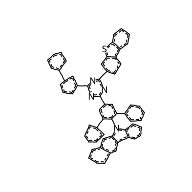 c1ccc(-c2cccc(-c3nc(-c4cc(-c5ccccc5)c(-n5c6ccccc6c6cc7ccccc7cc65)c(-c5ccccc5)c4)nc(-c4ccc5c(c4)sc4ccccc45)n3)c2)cc1